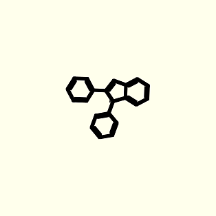 C1=C(c2ccccc2)[C](c2ccccc2)c2ccccc21